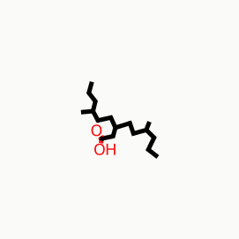 CCCC(C)CCC(CCC(C)CCC)CC(=O)O